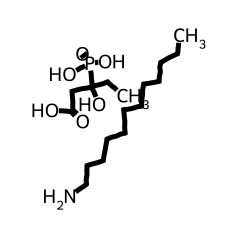 CCC(O)(CC(=O)O)P(=O)(O)O.CCCCCCCCCCCCN